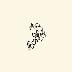 CCN(CC1CCCN(C(C)(C)Cc2cccc(OC(F)F)c2)C1)C(=O)c1cc2cc(OC(F)F)ccc2[nH]1